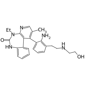 CCN1C(=O)Nc2ccccc2-c2c1ncc(C)c2-c1cccc(CCNCCO)c1N